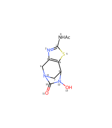 CC(=O)Nc1nc2c(s1)C1CN(C2)C(=O)N1O